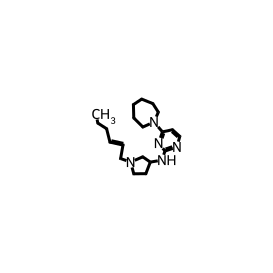 CCCC=CCN1CCC(Nc2nccc(N3CCCCCC3)n2)C1